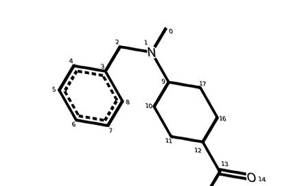 CN(Cc1ccccc1)C1CCC(C(=O)O)CC1